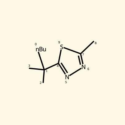 CCCCC(C)(C)c1nnc(C)s1